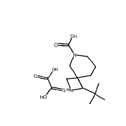 CC(C)(C)C1NCC12CCCN(C(=O)O)C2.O=C(O)C(=O)O